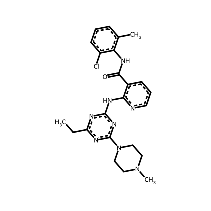 CCc1nc(Nc2ncccc2C(=O)Nc2c(C)cccc2Cl)nc(N2CCN(C)CC2)n1